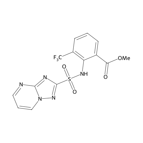 COC(=O)c1cccc(C(F)(F)F)c1NS(=O)(=O)c1nc2ncccn2n1